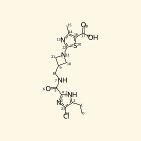 CCc1[nH]c(C(=O)NCC2CN(c3nc(C)c(C(=O)O)s3)C2)nc1Cl